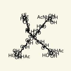 CC(=O)N[C@H]1[C@H](OCCCCC(=O)NCCCNC(=O)CCOCC(COCCC(=O)NCCCNC(=O)CCCCO[C@@H]2O[C@H](CO)[C@H](O)[C@H](O)[C@H]2NC(C)=O)(COCCC(=O)NCCCNC(=O)CCCCO[C@@H]2O[C@H](CO)[C@H](O)[C@H](O)[C@H]2NC(C)=O)NC(=O)CCc2cn(CCOCCC(=O)Oc3c(F)c(F)c(F)c(F)c3F)nn2)O[C@H](CO)[C@H](O)[C@@H]1O